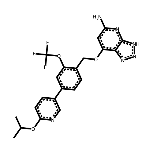 CC(C)Oc1ccc(-c2ccc(COc3cc(N)nc4[nH]nnc34)c(OC(F)(F)F)c2)cn1